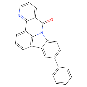 O=c1c2cccnc2c2cccc3c4cc(-c5ccccc5)ccc4n1c32